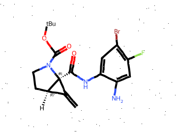 C=C1[C@H]2CCN(C(=O)OC(C)(C)C)[C@@]12C(=O)Nc1cc(Br)c(F)cc1N